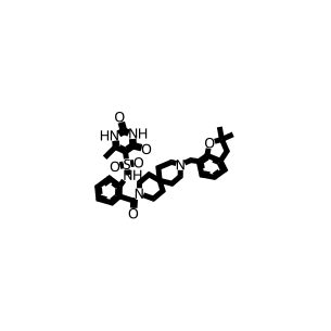 Cc1[nH]c(=O)[nH]c(=O)c1S(=O)(=O)Nc1ccccc1C(=O)N1CCC2(CCN(Cc3cccc4c3OC(C)(C)C4)CC2)CC1